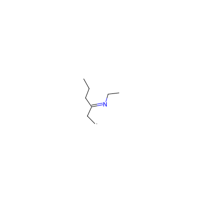 [CH2]CC(CCC)=NCC